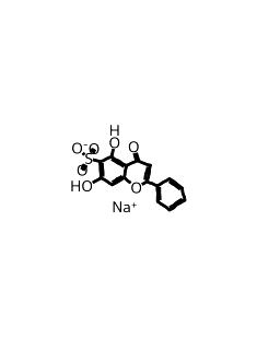 O=c1cc(-c2ccccc2)oc2cc(O)c(S(=O)(=O)[O-])c(O)c12.[Na+]